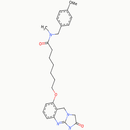 COc1ccc(CN(C)C(=O)CCCCCCOc2cccc3c2CN2CC(=O)NC2=N3)cc1